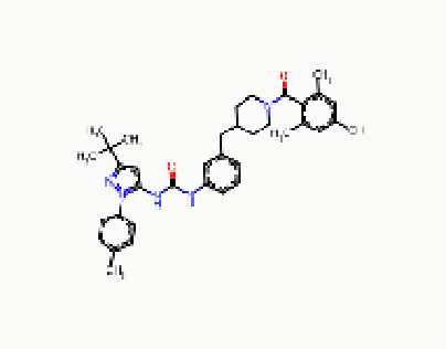 Cc1ccc(-n2nc(C(C)(C)C)cc2NC(=O)Nc2cccc(CC3CCN(C(=O)c4c(C)cc(C)cc4C)CC3)c2)cc1